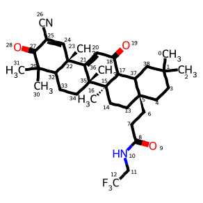 CC1(C)CC[C@]2(CCC(=O)NCC(F)(F)F)CC[C@]3(C)C(C(=O)C=C4[C@@]5(C)C=C(C#N)C(=O)C(C)(C)C5CC[C@]43C)C2C1